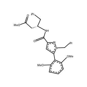 COC(=O)C[C@H](CC(C)C)NC(=O)c1cc(-c2c(OC)cccc2OC)n(CC(C)C)n1